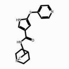 O=C(NC1CN2CCC1CC2)c1c[nH]c(Sc2ccncc2)c1